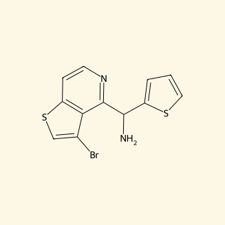 NC(c1cccs1)c1nccc2scc(Br)c12